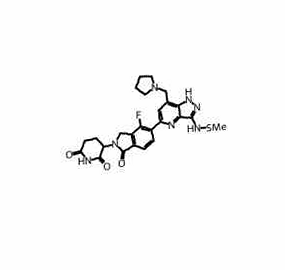 CSNc1n[nH]c2c(CN3CCCC3)cc(-c3ccc4c(c3F)CN(C3CCC(=O)NC3=O)C4=O)nc12